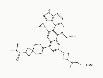 C=C(F)C(=O)N1CC2(CCN(c3nc(N4CC(N(C)CCOC)C4)nc4c(OCC(F)(F)F)c(-c5c(C)ccc6[nH]ncc56)c(C5CC5)cc34)CC2)C1